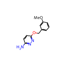 COc1cccc(COc2ccc(N)nn2)c1